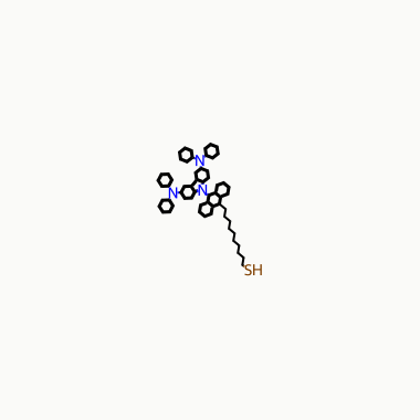 SCCCCCCCCCCc1c2ccccc2c(-n2c3ccc(N(c4ccccc4)c4ccccc4)cc3c3cc(N(c4ccccc4)c4ccccc4)ccc32)c2ccccc12